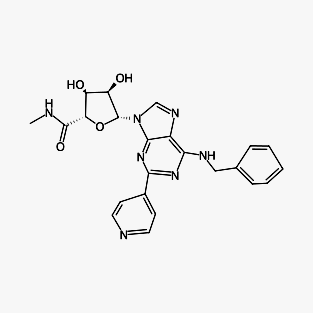 CNC(=O)[C@H]1O[C@@H](n2cnc3c(NCc4ccccc4)nc(-c4ccncc4)nc32)[C@H](O)[C@@H]1O